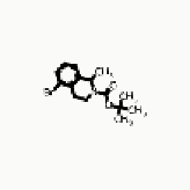 CC1c2cccc(Br)c2CCN1C(=O)OC(C)(C)C